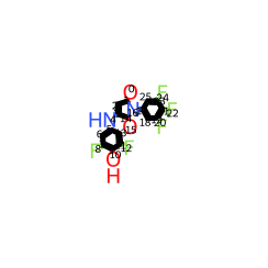 O=C1C=C(Nc2cc(F)c(O)c(F)c2)C(=O)N1c1cc(F)c(F)c(F)c1